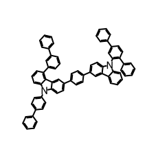 c1ccc(-c2ccc(-n3c4ccc(-c5ccc(-c6ccc7c(c6)c6ccccc6n7-c6cc(-c7ccccc7)ccc6-c6ccccc6)cc5)cc4c4c(-c5cccc(-c6ccccc6)c5)cccc43)cc2)cc1